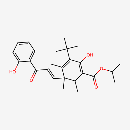 CC1=C(C(C)(C)C)C(O)=C(C(=O)OC(C)C)C(C)C1(C)C=CC(=O)c1ccccc1O